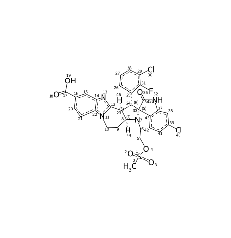 CS(=O)(=O)OCCN1[C@H]2CCn3c(nc4cc(C(=O)O)ccc43)[C@H]2[C@H](c2cccc(Cl)c2F)[C@]12C(=O)Nc1cc(Cl)ccc12